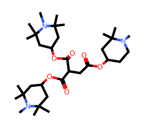 CN1CCC(OC(=O)CC(C(=O)OC2CC(C)(C)N(C)C(C)(C)C2)C(=O)OC2CC(C)(C)N(C)C(C)(C)C2)CC1(C)C